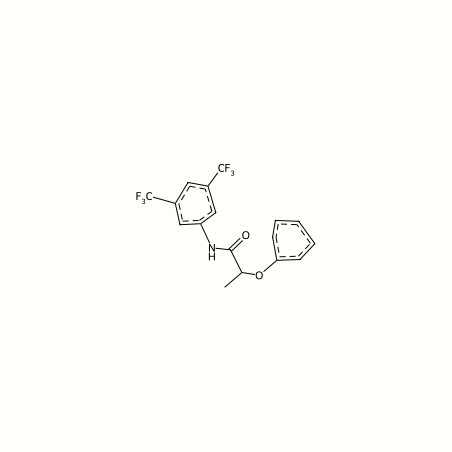 CC(Oc1ccccc1)C(=O)Nc1cc(C(F)(F)F)cc(C(F)(F)F)c1